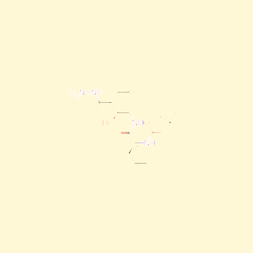 CC(C)C[C@H](NC(=O)OC(C)(C)C)C(=O)N[C@@H](CC(C)C)[C@@H](O)CC(=O)NN